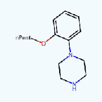 CCCCCOc1ccccc1N1CCNCC1